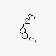 CCOC(=O)C=C1C=C2C=C(C)CCC2CC1